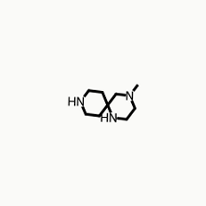 CN1CCNC2(CCNCC2)C1